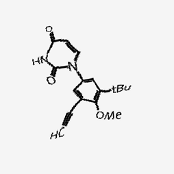 C#Cc1cc(-n2ccc(=O)[nH]c2=O)cc(C(C)(C)C)c1OC